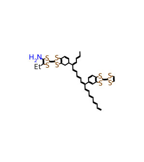 C=C/C=C/C=C/C=C/C(=C/C=C/C=C/C(=C/C=C/C)C1C=CC2=C(C1)S/C(=C1/SC(N)=C(CC)S1)S2)c1ccc2c(c1)SC(=C1SC=CS1)S2